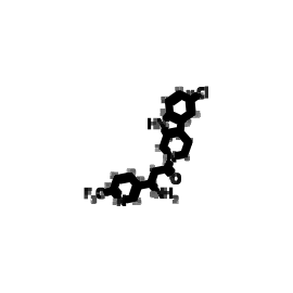 NC(CC(=O)N1CCc2c([nH]c3ccc(Cl)cc23)C1)c1ccc(C(F)(F)F)nc1